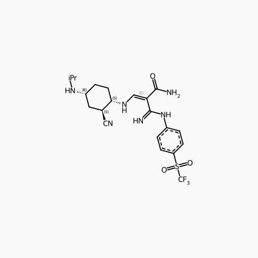 CC(C)N[C@@H]1CC[C@H](N/C=C(\C(=N)Nc2ccc(S(=O)(=O)C(F)(F)F)cc2)C(N)=O)[C@@H](C#N)C1